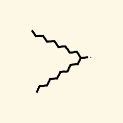 [CH2]C(CCCCCCCCC)CCCCCCCCC